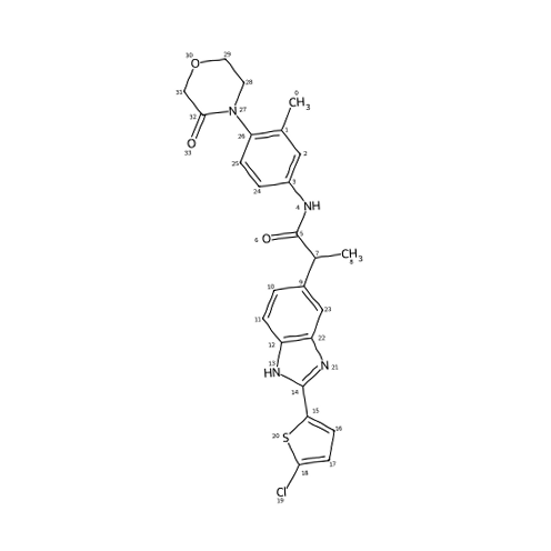 Cc1cc(NC(=O)C(C)c2ccc3[nH]c(-c4ccc(Cl)s4)nc3c2)ccc1N1CCOCC1=O